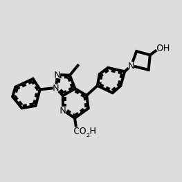 Cc1nn(-c2ccccc2)c2nc(C(=O)O)cc(-c3ccc(N4CC(O)C4)cc3)c12